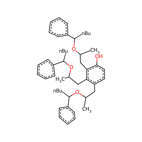 CCCCC(OC(C)Cc1ccc(O)c(CC(C)OC(CCCC)c2ccccc2)c1CC(C)OC(CCCC)c1ccccc1)c1ccccc1